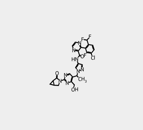 CC(c1cnc(N2CC3CC3C2=O)nc1CO)n1cc(NC(=O)c2nccnc2-c2c(C(F)F)ccc(Cl)c2F)cn1